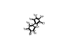 [2H]c1c([2H])c([2H])c2c(oc3c([2H])c(Br)c([2H])c([2H])c32)c1Cl